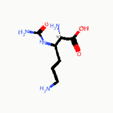 NCCCC(NC(N)=O)[C@H](N)C(=O)O